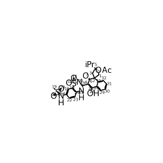 CC(=O)OCC1(CCC(C)C)C(=O)C(C2=NS(=O)(=O)c3cc(NS(C)(=O)=O)ccc3N2)=C(O)c2ccccc21